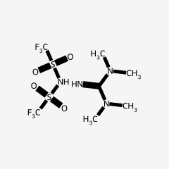 CN(C)C(=N)N(C)C.O=S(=O)(NS(=O)(=O)C(F)(F)F)C(F)(F)F